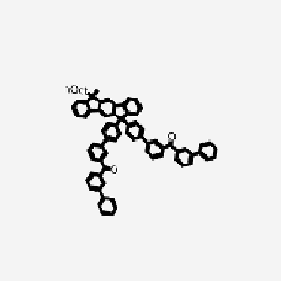 CCCCCCCCC1(C)c2ccccc2-c2cc3c(cc21)-c1ccccc1C3(c1ccc(-c2cccc(C(=O)c3cccc(-c4ccccc4)c3)c2)cc1)c1ccc(-c2cccc(C(=O)c3cccc(-c4ccccc4)c3)c2)cc1